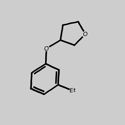 CCc1cccc(OC2CCOC2)c1